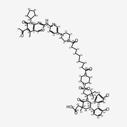 CC(=O)c1c(C)c2cnc(Nc3ccc(N4CCN(C(=O)CCCCCCCC(=O)N5CCN(S(=O)(=O)CC(N6C(=O)[C@@](C)(CC(=O)O)C[C@H](c7cccc(Cl)c7)[C@H]6c6ccc(Cl)cc6)C(C)(C)C)CC5)CC4)cn3)nc2n(C2CCCC2)c1=O